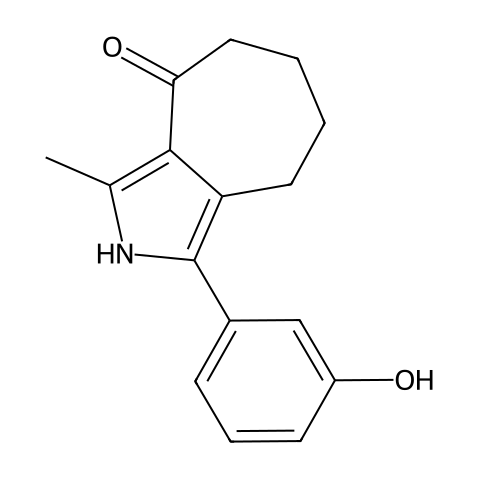 Cc1[nH]c(-c2cccc(O)c2)c2c1C(=O)CCCC2